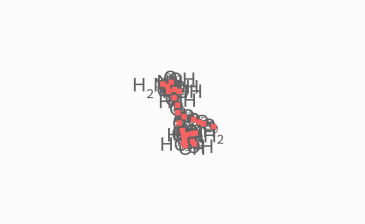 C#CCOCCOCCOCCOCCN(CCOCCNC(=O)CO[C@@H]([C@@H]1OC(C(=O)O)=C[C@H](NC(=N)N)[C@H]1NC(C)=O)[C@H](O)CO)CCOCCNC(=O)CO[C@@H]([C@@H]1OC(C(=O)O)=C[C@H](NC(=N)N)[C@H]1NC(C)=O)[C@H](O)CO